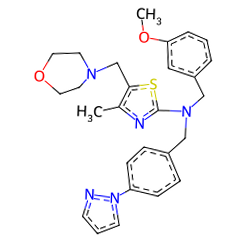 COc1cccc(CN(Cc2ccc(-n3cccn3)cc2)c2nc(C)c(CN3CCOCC3)s2)c1